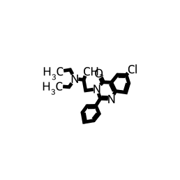 CCN(CC)C(C)Cn1c(-c2ccccc2)nc2ccc(Cl)cc2c1=O